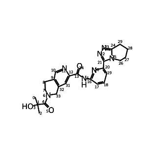 CC(C)(O)C(=O)N1CCc2cnc(C(=O)Nc3cccc(-c4nnc5n4CCCC5)n3)cc2C1